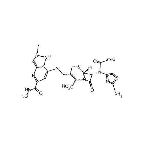 CN1C=C2N=C(C(=O)NO)C=C(SCC3=C(C(=O)O)N4C(=O)[C@@H](N(C(=O)C=O)c5csc(N)n5)[C@H]4SC3)N2N1